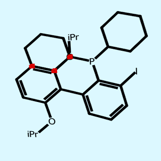 CC(C)Oc1cccc(OC(C)C)c1-c1cccc(I)c1P(C1CCCCC1)C1CCCCC1